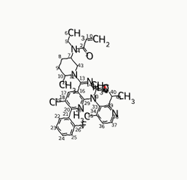 C=CC(=O)N(CC)C1CCC(C)N(/C(=N/C)c2cc(Cl)c(-c3ccccc3F)nc2N(C=O)c2c(C)ccnc2C(C)C)C1